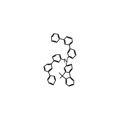 CC1(C)c2ccccc2-c2ccc(N(c3cccc(-c4cccc(-c5ccccc5)c4)c3)c3cccc(-c4cccc(-c5ccccc5)c4)c3)cc21